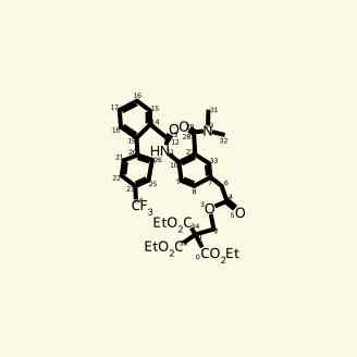 CCOC(=O)C(COC(=O)Cc1ccc(NC(=O)c2ccccc2-c2ccc(C(F)(F)F)cc2)c(C(=O)N(C)C)c1)(C(=O)OCC)C(=O)OCC